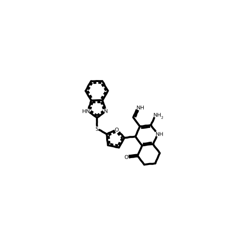 N=CC1=C(N)NC2=C(C(=O)CCC2)C1c1ccc(Sc2nc3ccccc3[nH]2)o1